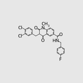 CN1C(=O)C(Cc2ccc(Cl)c(Cl)c2)C(=O)c2cc(C(=O)NCc3ccc(F)cc3)ccc21